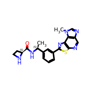 C[C@H](NC(=O)[C@@H]1CCN1)c1cccc(-c2nc3c(ncc4ncn(C)c43)s2)c1